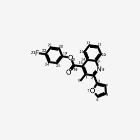 Cc1c(-c2ccco2)nc2ccccc2c1C(=O)Oc1ccc(F)cc1